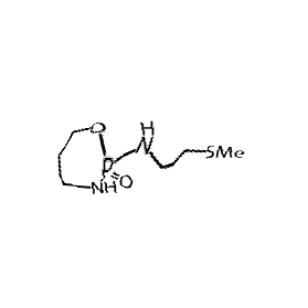 CSCCNP1(=O)NCCCO1